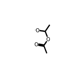 CC(=O)OC(C)[O]